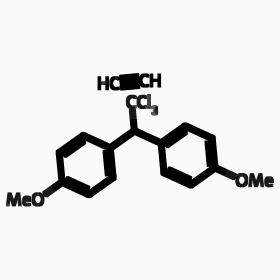 C#C.COc1ccc(C(c2ccc(OC)cc2)C(Cl)(Cl)Cl)cc1